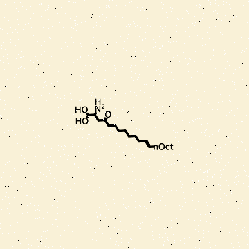 CCCCCCCCC=CCCCCCCCC(=O)CC(N)C(O)O